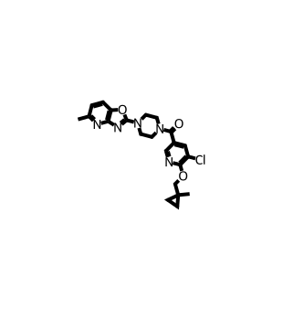 Cc1ccc2oc(N3CCN(C(=O)c4cnc(OCC5(C)CC5)c(Cl)c4)CC3)nc2n1